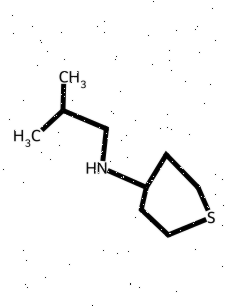 CC(C)CNC1CCSCC1